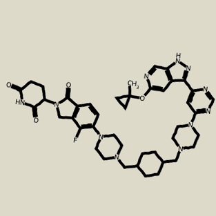 CC1(Oc2cc3c(-c4cc(N5CCN(CC6CCC(CN7CCN(c8ccc9c(c8F)CN(C8CCC(=O)NC8=O)C9=O)CC7)CC6)CC5)ncn4)n[nH]c3cn2)CC1